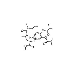 CCCC(C)C(=O)OC(C)C[C@@](N)(Cc1ccc(OC(=O)C(C)C)c(OC(=O)C(C)C)c1)C(=O)OC